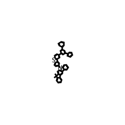 CC1(C)c2ccccc2-c2cc3c4ccccc4n(-c4ccc5sc6ccc(-c7cc(-c8ccccc8)cc(-c8ccccc8)c7)cc6c5c4)c3cc21